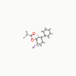 CC(C)C(=O)Oc1cc(-c2ccccc2)ccc1I